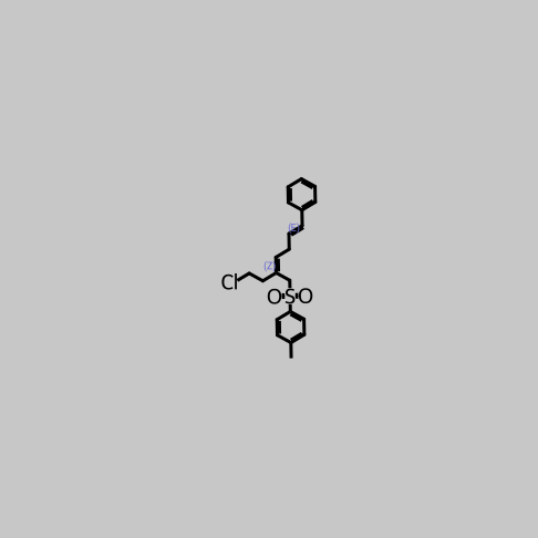 Cc1ccc(S(=O)(=O)C/C(=C\C/C=C/c2ccccc2)CCCl)cc1